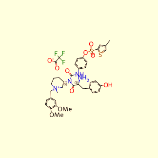 COc1ccc(C[N+]2(C)CCC[C@H](N(C(=O)Nc3ccc(OS(=O)(=O)c4cc(C)cs4)cc3)C(=O)[C@@H](N)Cc3ccc(O)cc3)C2)cc1OC.O=C([O-])C(F)(F)F